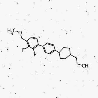 CCCC1CCC(c2ccc(-c3ccc(COC)c(F)c3F)cc2)CC1